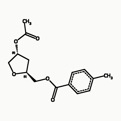 CC(=O)O[C@H]1CO[C@H](COC(=O)c2ccc(C)cc2)C1